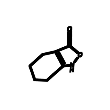 O=c1o[nH]c2c1CCCC2